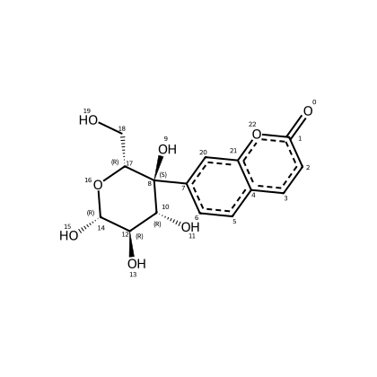 O=c1ccc2ccc([C@]3(O)[C@H](O)[C@@H](O)[C@H](O)O[C@@H]3CO)cc2o1